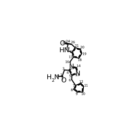 NC(=O)Cc1c(Cc2ccccc2)ncn1Cc1cccc2c1NC(=O)C2